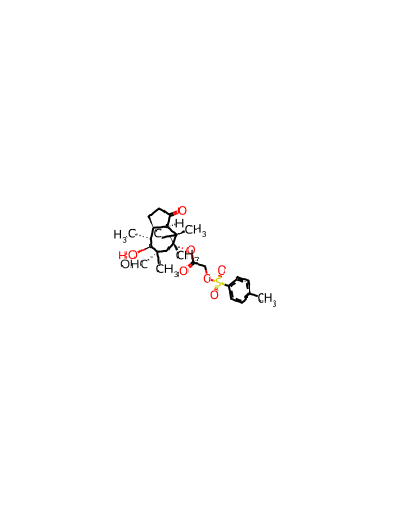 Cc1ccc(S(=O)(=O)OCC(=O)O[C@@H]2C[C@](C)(C=O)[C@@H](O)[C@H](C)[C@]34CCC(=O)[C@H]3[C@@]2(C)[C@H](C)CC4)cc1